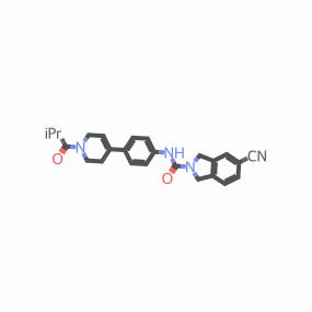 CC(C)C(=O)N1CC=C(c2ccc(NC(=O)N3Cc4ccc(C#N)cc4C3)cc2)CC1